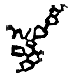 CCn1ncc2cc(-c3ccc(C4CC(C5=C(c6ccccc6)c6cc(Cl)ccc6NC5O)=NN4C(=O)CCC(=O)O)cc3)ccc21